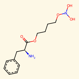 N[C@@H](Cc1ccccc1)C(=O)OCCCCON(O)O